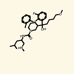 CNCC(CC(C)C)NC(=O)N1CCCC(C(O)(CCCCOC)c2cccc(F)c2Oc2ccccc2C)C1